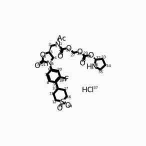 CC(=O)N(C[C@H]1CN(c2ccc(C3CCS(=O)(=O)CC3)c(F)c2)C(=O)O1)C(=O)OCOC(=O)O[C@H]1CCCN1.Cl